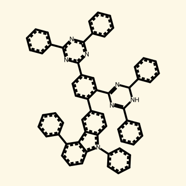 c1ccc(C2=NC(c3cc(-c4nc(-c5ccccc5)nc(-c5ccccc5)n4)ccc3-c3ccc4c(c3)c3c(-c5ccccc5)cccc3n4-c3ccccc3)=NC(c3ccccc3)N2)cc1